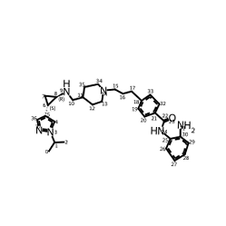 CC(C)n1cc([C@@H]2C[C@H]2NCC2CCN(CCCc3ccc(C(=O)Nc4ccccc4N)cc3)CC2)cn1